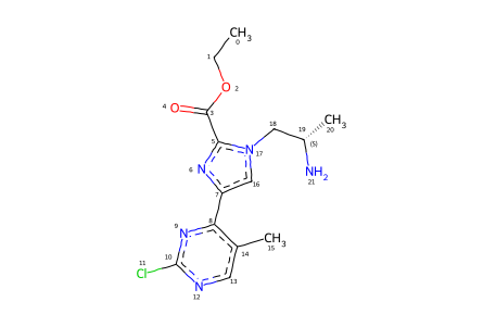 CCOC(=O)c1nc(-c2nc(Cl)ncc2C)cn1C[C@H](C)N